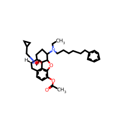 CCN(CCCCCCc1ccccc1)C1CC[C@@]2(O)[C@H]3Cc4ccc(OC(C)=O)c5c4[C@@]2(CCN3CC2CC2)C1O5